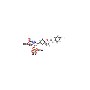 CCC(CCc1ccc(OCCCc2ccc(C(F)(F)F)cc2)c(C(F)(F)F)c1)(COP(=O)(OC(C)(C)C)OC(C)(C)C)NC(=O)OC(C)(C)C